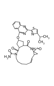 CC(C)c1csc(-c2nc(OC3CC4C(=O)NC5([C]=O)CC5/C=C/CCCCN(C(N)=O)C(=O)C4C3)c3ccccc3n2)n1